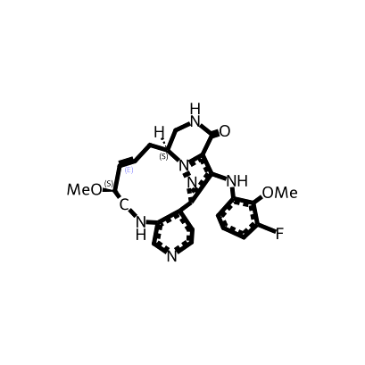 COc1c(F)cccc1Nc1c2nn3c1C(=O)NC[C@@H]3C/C=C/[C@H](OC)CNc1cnccc1-2